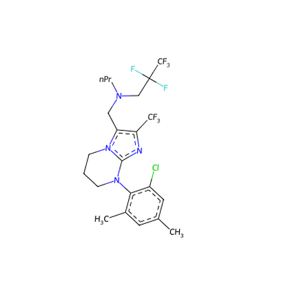 CCCN(Cc1c(C(F)(F)F)nc2n1CCCN2c1c(C)cc(C)cc1Cl)CC(F)(F)C(F)(F)F